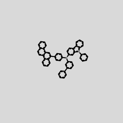 c1ccc(-c2cccc(N(c3ccc(-c4cc5c6ccccc6ccc5c5ccccc45)cc3)c3ccc4c5ccccc5n(-c5ccccc5)c4c3)c2)cc1